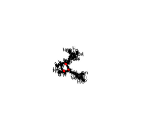 CC1=C(CCC(=O)O)c2cc3[nH]c(cc4nc(cc5[nH]c(cc1n2)c(C)c5C(C)NC(=O)CN(CCN(CC(=O)O)CC(CC(=O)O)NCC(=O)O)CC(=O)O)C(C)=C4C(C)NC(=O)CN(CCN(CC(=O)O)CC(CC(=O)O)NCC(=O)O)CC(=O)O)c(C)c3CCC(=O)O